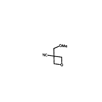 COCC1(C#N)COC1